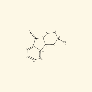 CCN1CCC2C(=O)c3ccccc3C2C1